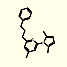 Cc1cc(CCCc2ccccc2)nc(-n2c(C)ccc2C)c1